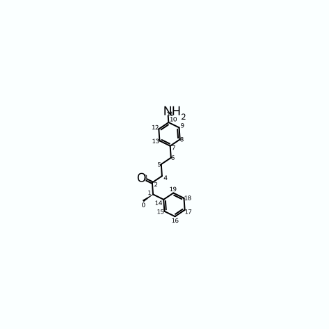 C[C@@H](C(=O)CCCc1ccc(N)cc1)c1ccccc1